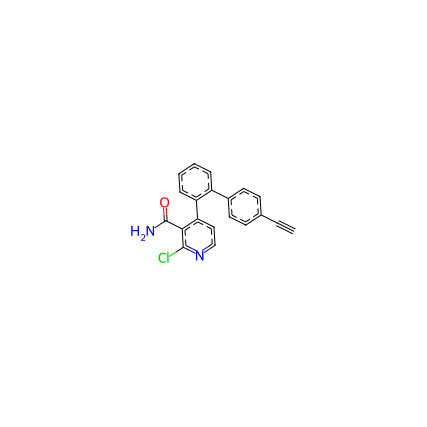 C#Cc1ccc(-c2ccccc2-c2ccnc(Cl)c2C(N)=O)cc1